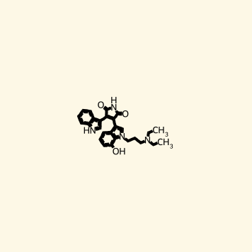 CCN(CC)CCCn1cc(C2=C(c3c[nH]c4ccccc34)C(=O)NC2=O)c2cccc(O)c21